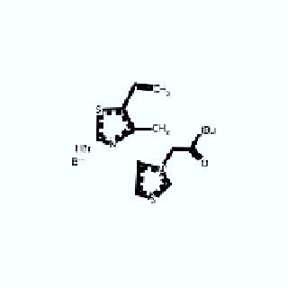 Br.C=Cc1scnc1C.CC(C)(C)C(=O)C[n+]1ccsc1.[Br-]